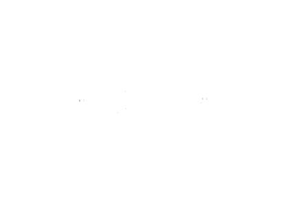 CCCCOOc1cccc(C(C)(C)OOCCCC)c1